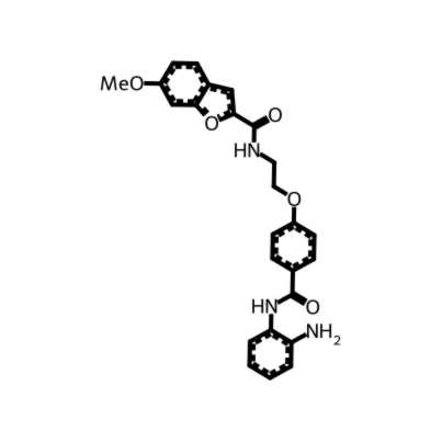 COc1ccc2cc(C(=O)NCCOc3ccc(C(=O)Nc4ccccc4N)cc3)oc2c1